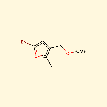 COOCc1cc(Br)oc1C